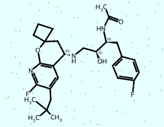 CC(=O)N[C@@H](Cc1ccc(F)cc1)[C@@H](O)CN[C@H]1CC2(CCC2)Oc2nc(F)c(CC(C)(C)C)cc21